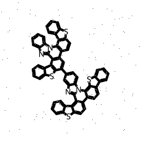 c1ccc2c(c1)nc1c3c(cc(-c4ccc5c(c4)nc4c6c(ccc7sc8ccccc8c76)c6ccc7c8ccccc8sc7c6n54)c4sc5ccccc5c43)c3ccc4sc5ccccc5c4c3n21